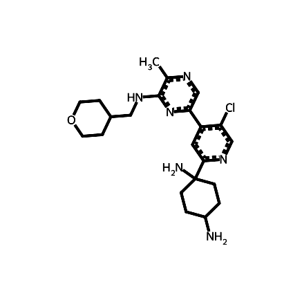 Cc1ncc(-c2cc(C3(N)CCC(N)CC3)ncc2Cl)nc1NCC1CCOCC1